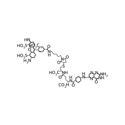 N=c1ccc2c(-c3ccc(C(=O)NCCCCCN4C(=O)CC(SCC(NC(=O)CCC(NC(=O)c5ccc(NCc6cnc7nc(N)[nH]c(=O)c7n6)cc5)C(=O)O)C(=O)O)C4=O)cc3C(=O)O)c3ccc(N)c(S(=O)(=O)O)c3oc-2c1S(=O)(=O)O